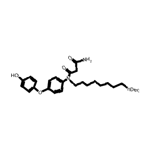 CCCCCCCCCCCCCCCCCCN(C(=O)CC(N)=O)c1ccc(Oc2ccc(O)cc2)cc1